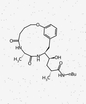 CCCCNC(=O)[C@H](C)C[C@H](O)[C@@H]1Cc2cccc(c2)OCCCC(=O)N[C@@H](C)C(=O)N1